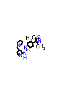 Cc1noc(C)c1-c1ccc2nc(Nc3cc(CN4CCCC4)ccn3)sc2c1